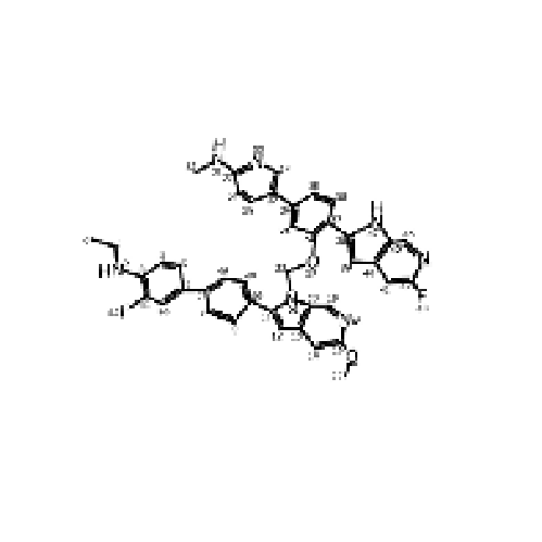 CCNc1ccc(-c2ccc(-c3cc4cc(OC)ncc4n3COc3cc(-c4ccc(NC)nc4)ccc3-c3cc4cc(F)ncc4[nH]3)cc2)cc1F